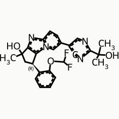 CC(C)(O)c1ncc(-c2ccc3nc4c(n3c2)[C@@H](c2ccccc2OC(F)F)CC4(C)O)cn1